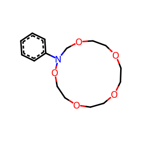 c1ccc(N2COCCOCCOCCOCCO2)cc1